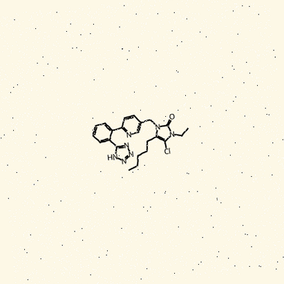 CCCCCc1c(Cl)n(CC)c(=O)n1Cc1ccc(-c2ccccc2-c2nnn[nH]2)nc1